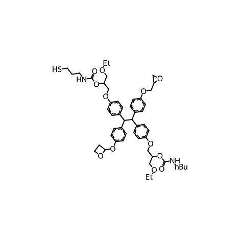 CCCCNC(=O)OC(COCC)COc1ccc(C(c2ccc(OCC3CO3)cc2)C(c2ccc(OCC(COCC)OC(=O)NCCCS)cc2)c2ccc(OC3CCO3)cc2)cc1